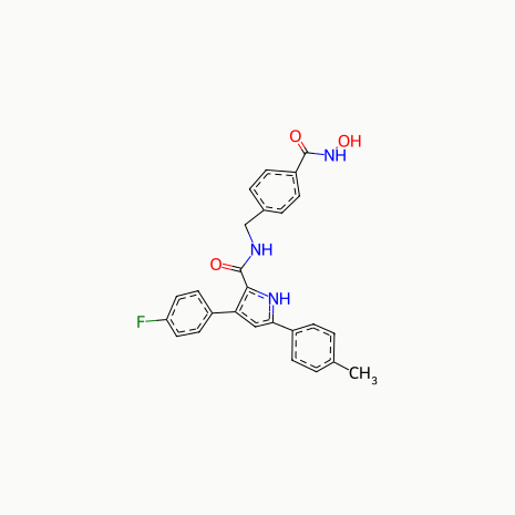 Cc1ccc(-c2cc(-c3ccc(F)cc3)c(C(=O)NCc3ccc(C(=O)NO)cc3)[nH]2)cc1